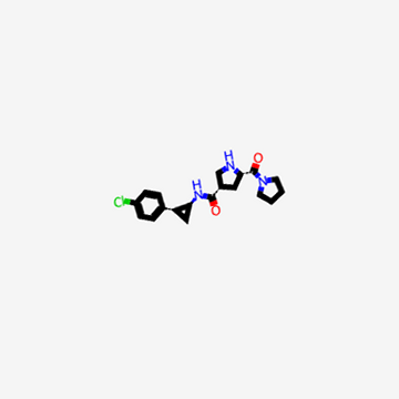 O=C(N[C@H]1C[C@@H]1c1ccc(Cl)cc1)[C@@H]1CN[C@H](C(=O)N2CCCC2)C1